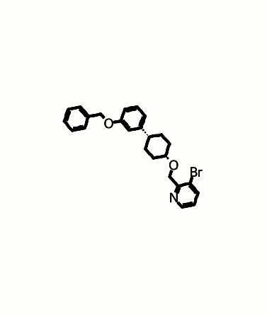 Brc1cccnc1CO[C@H]1CC[C@@H](c2cccc(OCc3ccccc3)c2)CC1